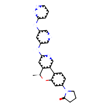 C[C@@H]1Oc2cc(N3CCCC3=O)ccc2-c2cnc(Nc3cncc(Nc4cccnn4)c3)cc21